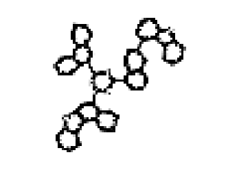 c1cc(-c2nc(-c3cc4ccccc4c4ccccc34)nc(-c3cc4oc5ccccc5c4c4ccccc34)n2)c2ccc(-c3cccc4oc5ccccc5c34)cc2c1